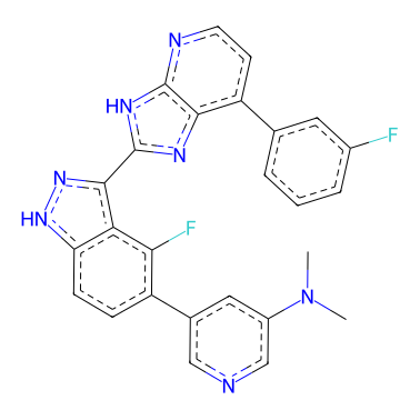 CN(C)c1cncc(-c2ccc3[nH]nc(-c4nc5c(-c6cccc(F)c6)ccnc5[nH]4)c3c2F)c1